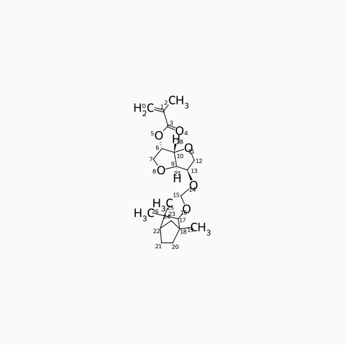 C=C(C)C(=O)O[C@H]1CO[C@H]2[C@H]1OC[C@H]2OCOC1C2(C)CCC(C2)C1(C)C